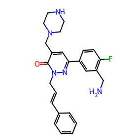 NCc1cc(-c2cc(CN3CCNCC3)c(=O)n(C/C=C/c3ccccc3)n2)ccc1F